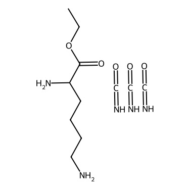 CCOC(=O)C(N)CCCCN.N=C=O.N=C=O.N=C=O